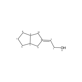 OCC=C1CC2CCCC2C1